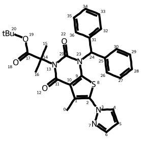 Cc1c(-n2cccn2)sc2c1c(=O)n(C(C)(C)C(=O)OC(C)(C)C)c(=O)n2C(c1ccccc1)c1ccccc1